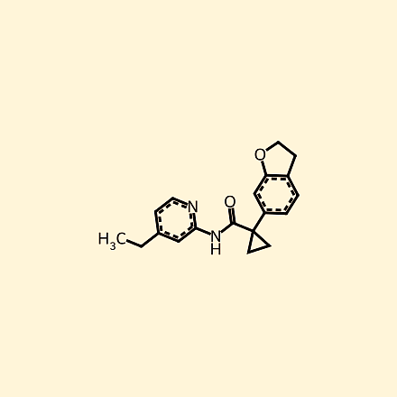 CCc1ccnc(NC(=O)C2(c3ccc4c(c3)OCC4)CC2)c1